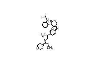 C=N/C(=N\C=C(/C)c1ccc2nc3c(n2c1)C(c1ccccc1OC(F)F)NCC3)N1CCOCC1